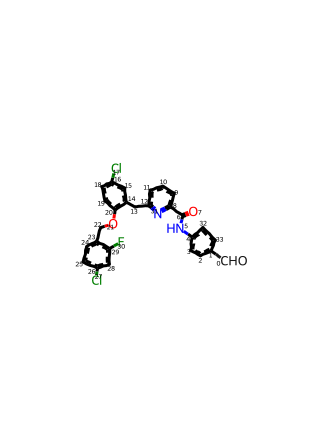 O=Cc1ccc(NC(=O)c2cccc(Cc3cc(Cl)ccc3OCc3ccc(Cl)cc3F)n2)cc1